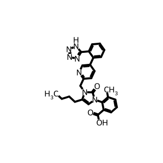 CCCCc1cn(-c2c(C)cccc2C(=O)O)c(=O)n1Cc1ccc(-c2ccccc2-c2nnn[nH]2)cn1